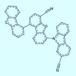 N#Cc1ccc2c3ccccc3n(-c3cccc4c3oc3c(C#N)ccc(-c5cccc6sc7ccccc7c56)c34)c2c1